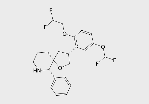 FC(F)COc1ccc(OC(F)F)cc1[C@@H]1CO[C@]2(CCCN[C@H]2c2ccccc2)C1